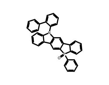 O=P1(c2ccccc2)c2ccccc2-c2cc3c(cc21)c1ccccc1n3-c1ccccc1-c1ccccc1